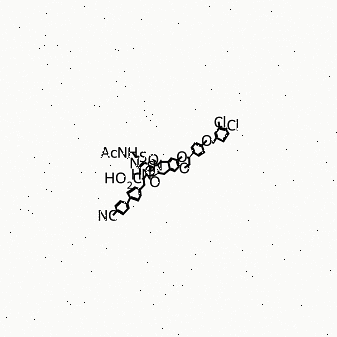 CC(=O)Nc1nc(C)c(S(=O)(=O)N2Cc3cc4c(cc3C[C@H]2C(=O)N[C@@H](Cc2ccc(-c3ccc(C#N)cc3)cc2)C(=O)O)OC[C@H](c2ccc(OCc3ccc(Cl)c(Cl)c3)cc2)O4)s1